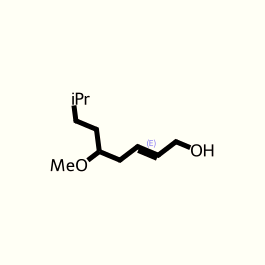 COC(C/C=C/CO)CCC(C)C